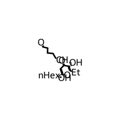 CCCCCC=O.CCCCCCO.CCc1occc(=O)c1O